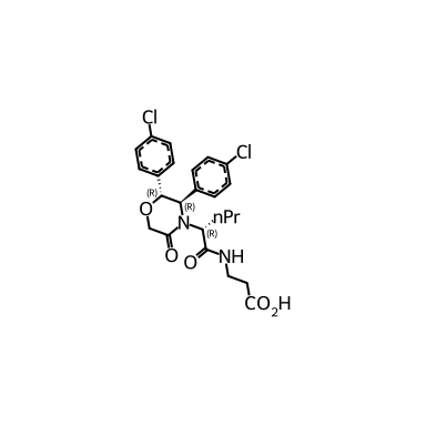 CCC[C@H](C(=O)NCCC(=O)O)N1C(=O)CO[C@H](c2ccc(Cl)cc2)[C@H]1c1ccc(Cl)cc1